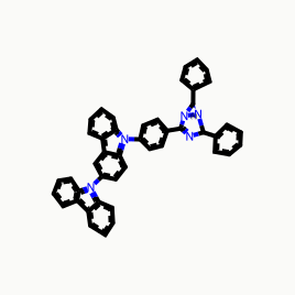 c1ccc(C2N=C(c3ccc(-n4c5ccccc5c5cc(-n6c7ccccc7c7ccccc76)ccc54)cc3)N3C(c4ccccc4)[N@]23)cc1